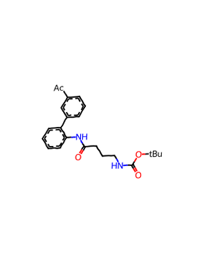 CC(=O)c1cccc(-c2ccccc2NC(=O)CCCNC(=O)OC(C)(C)C)c1